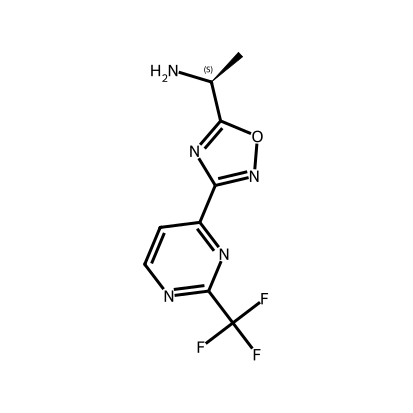 C[C@H](N)c1nc(-c2ccnc(C(F)(F)F)n2)no1